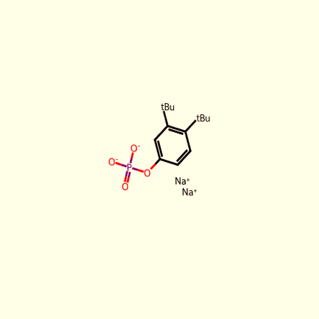 CC(C)(C)c1ccc(OP(=O)([O-])[O-])cc1C(C)(C)C.[Na+].[Na+]